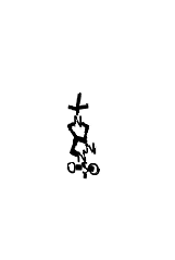 CC(C)(C)N1Cc2cn(S(C)(=O)=O)nc2C1